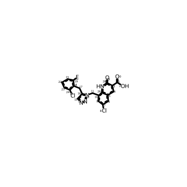 O=C(O)c1cc2cc(Cl)cc(Cn3nncc3Cc3c(F)cccc3Cl)c2[nH]c1=O